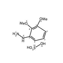 COc1cccc(NN)c1OC.O=S(=O)(O)O